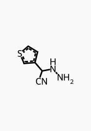 N#CC(NN)c1ccsc1